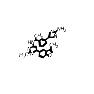 Cc1nc(NC(C)c2cccc(-c3cnc(N)nc3)c2)cc(-c2ccc3occ(C)c3c2)n1